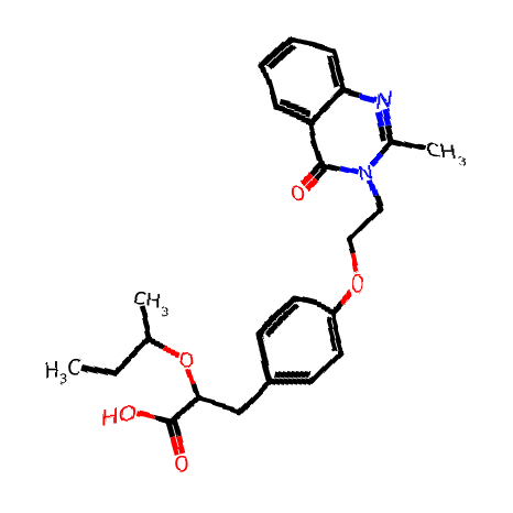 CCC(C)OC(Cc1ccc(OCCn2c(C)nc3ccccc3c2=O)cc1)C(=O)O